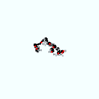 CC1(C)CCC(CN2CCN(c3ccc(C(=O)NS(=O)(=O)c4ccc(NCC5CCCN(CCCCCCC#Cc6cccc7c6C(=O)N(C6CCC(=O)NC6=O)C7)C5)c([N+](=O)[O-])c4)c(Oc4cnc5[nH]ccc5c4)c3)CC2)=C(c2ccc(Cl)cc2)C1